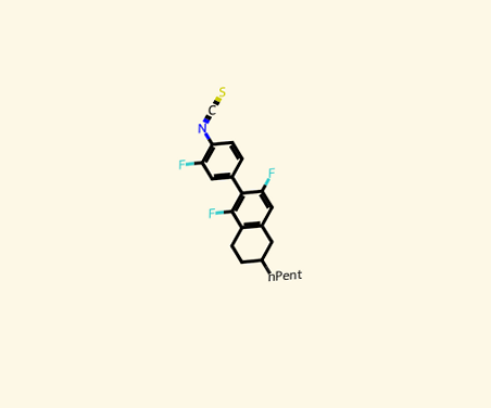 CCCCCC1CCc2c(cc(F)c(-c3ccc(N=C=S)c(F)c3)c2F)C1